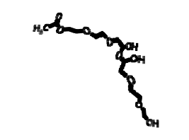 CC(=O)OCCOCCOCC(O)OC(O)COCCOCCO